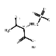 CC(C)[C@H](N)C(=O)O.O=S(=O)([O-])S.[Na+]